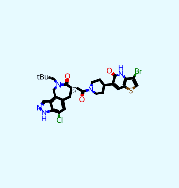 CC(C)(C)CN1Cc2c(cc(Cl)c3[nH]ncc23)C[C@@H](CC(=O)N2CCC(c3cc4scc(Br)c4[nH]c3=O)CC2)C1=O